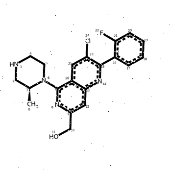 C[C@H]1CNCCN1c1nc(CO)cc2nc(-c3ccccc3F)c(Cl)cc12